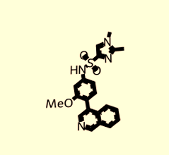 COc1cc(NS(=O)(=O)c2cn(C)c(C)n2)ccc1-c1cncc2ccccc12